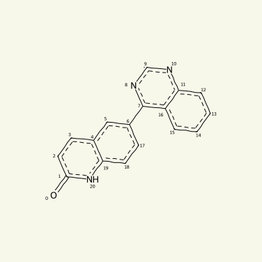 O=c1ccc2cc(-c3n[c]nc4ccccc34)ccc2[nH]1